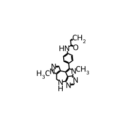 C=CC(=O)Nc1ccc(-c2c3c4c(ncnc4n2C)NCc2c-3cnn2C)cc1